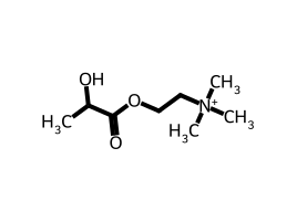 CC(O)C(=O)OCC[N+](C)(C)C